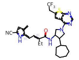 C=c1cc(C#N)[nH]/c1=C/C=C(\CC)C(=O)NC1CN(c2ncnc3sc(CC(F)(F)F)cc23)CC1C1CCCCCC1